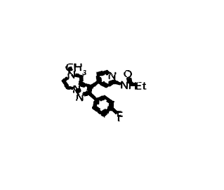 CCC(=O)Nc1cc(-c2c(-c3ccc(F)cc3)nn3c2CN(C)CC3)ccn1